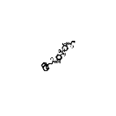 C=CC(=O)NC1CCN(S(=O)(=O)c2ccc(NC(=O)CCC34CC5CC(CC(C5)C3)C4)cc2)CC1C